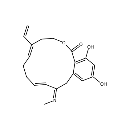 C=C/C1=C\CC/C=C/C(=N\C)Cc2cc(O)cc(O)c2C(=O)OCC1